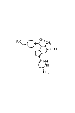 C=C(c1c(C)c(C(=O)O)cc2c(C3=CC=C(C)NN3)ccn12)N1CCN(CC(F)(F)F)CC1